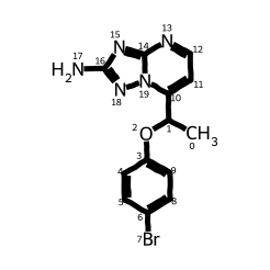 CC(Oc1ccc(Br)cc1)c1ccnc2nc(N)nn12